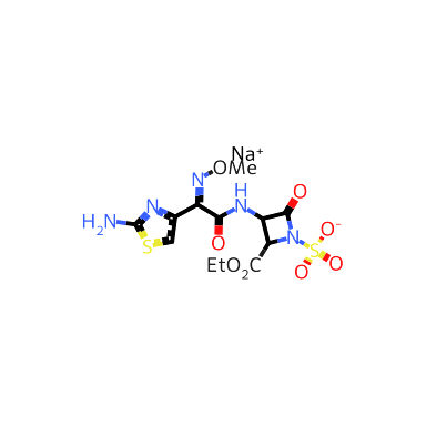 CCOC(=O)C1C(NC(=O)C(=NOC)c2csc(N)n2)C(=O)N1S(=O)(=O)[O-].[Na+]